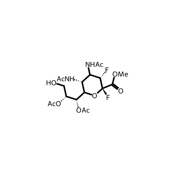 COC(=O)[C@]1(F)OC([C@H](OC(C)=O)[C@@H](CO)OC(C)=O)[C@H](NC(C)=O)C(NC(C)=O)[C@@H]1F